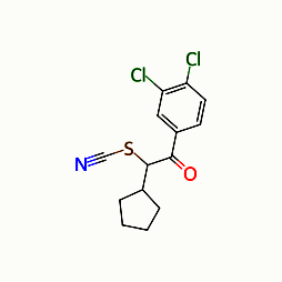 N#CSC(C(=O)c1ccc(Cl)c(Cl)c1)C1CCCC1